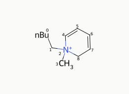 CCCCC[N+]1(C)C=CC=CC1